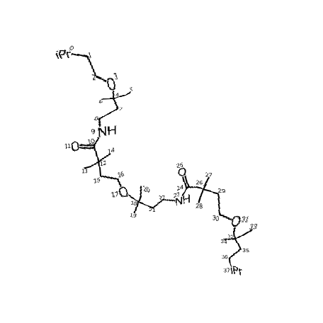 CC(C)CCOC(C)(C)CCNC(=O)C(C)(C)CCOC(C)(C)CCNC(=O)C(C)(C)CCOC(C)(C)CCC(C)C